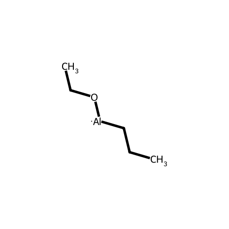 CC[CH2][Al][O]CC